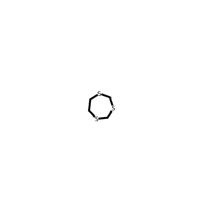 [CH]1SCCSCS1